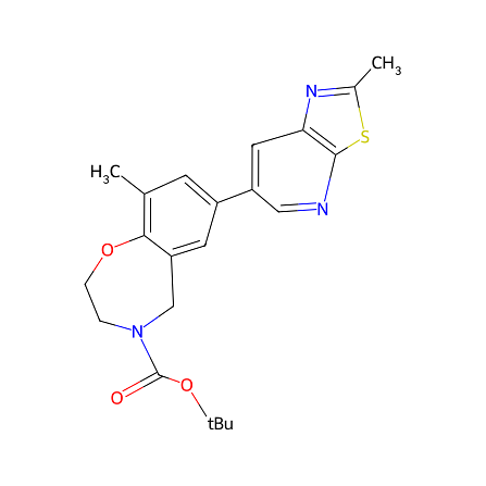 Cc1nc2cc(-c3cc(C)c4c(c3)CN(C(=O)OC(C)(C)C)CCO4)cnc2s1